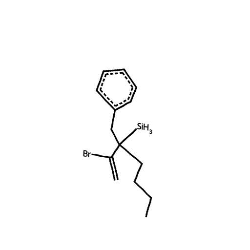 C=C(Br)C([SiH3])(CCCC)Cc1ccccc1